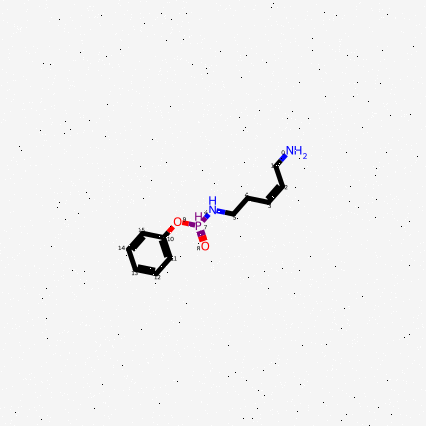 NC/C=C\CCN[PH](=O)Oc1ccccc1